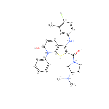 Cc1cc(Nc2c(C(=O)N3CC[C@H](N(C)C)C3)sc3c2ccc(=O)n3-c2ccccc2)ccc1F